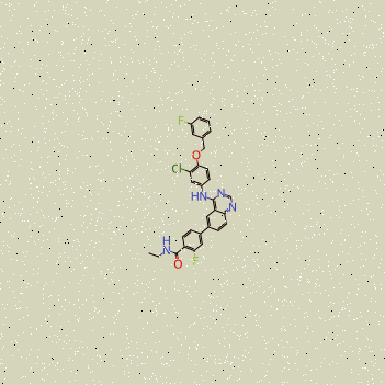 CCNC(=O)c1ccc(-c2ccc3ncnc(Nc4ccc(OCc5cccc(F)c5)c(Cl)c4)c3c2)cc1F